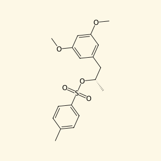 COc1cc(C[C@H](C)OS(=O)(=O)c2ccc(C)cc2)cc(OC)c1